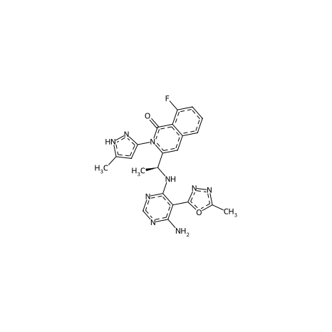 Cc1cc(-n2c([C@H](C)Nc3ncnc(N)c3-c3nnc(C)o3)cc3cccc(F)c3c2=O)n[nH]1